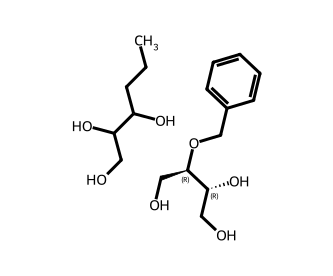 CCCC(O)C(O)CO.OC[C@@H](O)[C@@H](CO)OCc1ccccc1